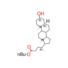 CCCCOC(=O)CC[C@@H](C)C1CCC2C3CC[C@@H]4C[C@H](O)CC[C@]4(C)C3CC[C@@]21C